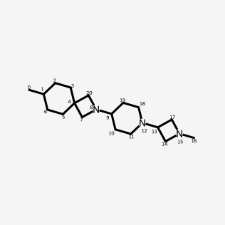 CC1CCC2(CC1)CN(C1CCN(C3CN(C)C3)CC1)C2